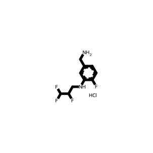 Cl.NCc1ccc(F)c(NCC(F)C(F)F)c1